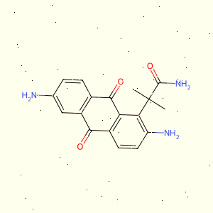 CC(C)(C(N)=O)c1c(N)ccc2c1C(=O)c1ccc(N)cc1C2=O